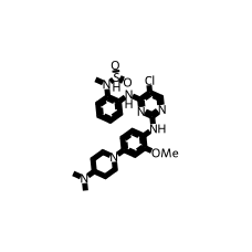 COc1cc(N2CCC(N(C)C)CC2)ccc1Nc1ncc(Cl)c(Nc2ccccc2N(C)[SH](=O)=O)n1